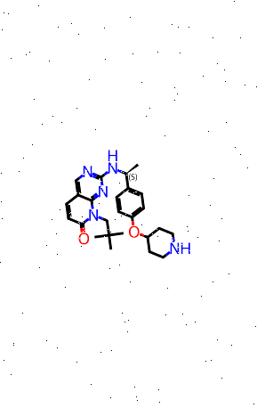 C[C@H](Nc1ncc2ccc(=O)n(CC(C)(C)C)c2n1)c1ccc(OC2CCNCC2)cc1